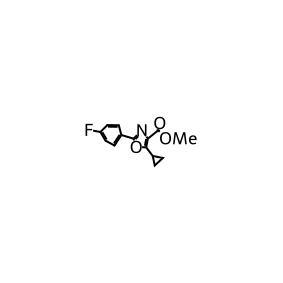 COC(=O)c1nc(-c2ccc(F)cc2)oc1C1CC1